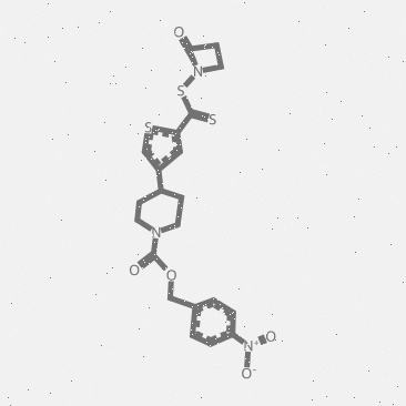 O=C(OCc1ccc([N+](=O)[O-])cc1)N1CCC(c2csc(C(=S)SN3CCC3=O)c2)CC1